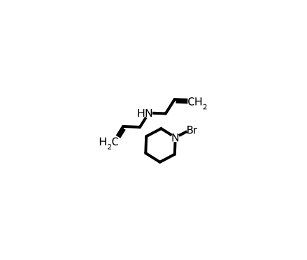 BrN1CCCCC1.C=CCNCC=C